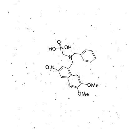 COc1nc2cc([N+](=O)[O-])cc(CN(Cc3ccccc3)CP(=O)(O)O)c2nc1OC